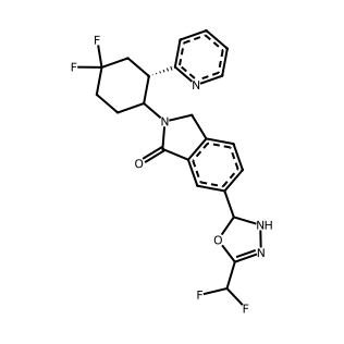 O=C1c2cc(C3NN=C(C(F)F)O3)ccc2CN1C1CCC(F)(F)C[C@@H]1c1ccccn1